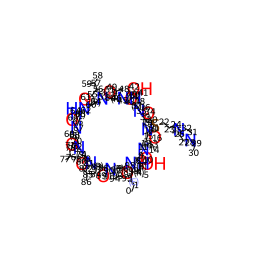 C/C=C/C[C@@H](C)[C@@H](O)[C@H]1C(=O)N[C@H](CC)C(=O)N(C)[C@H](CSCCCN2CCN(CC)CC2)C(=O)N(C)[C@@H](CC(C)(C)O)C(=O)N[C@H](C(C)C)C(=O)N(C)[C@H](CCC(C)C)C(=O)N[C@H](C)C(=O)N[C@@H](C)C(=O)N(C)[C@@H](CC(C)C)C(=O)N(C)[C@H](CC(C)C)C(=O)N(C)[C@H](C(C)C)C(=O)N1C